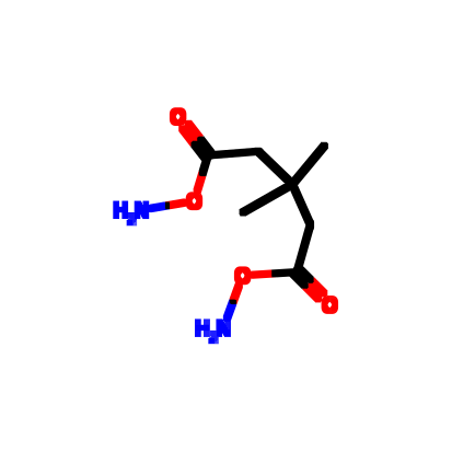 CC(C)(CC(=O)ON)CC(=O)ON